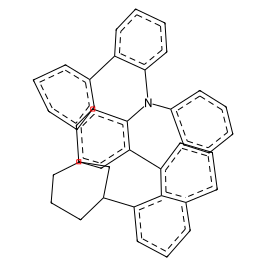 c1ccc(-c2ccccc2N(c2ccccc2)c2ccccc2-c2cccc3cccc(C4CCCCC4)c23)cc1